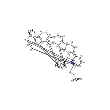 CCCCCCCCCCCCC1N(C)CC23C4=C5C=CC6C7C5=C2c2c5c8c9c%10c(ccc%11c%12c%13c%14c(c2c8c%13c%11%10)C13C(=C%14C%12C)C=C4)C1C=CC6C(C=57)C91